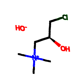 C[N+](C)(C)C[C@H](O)CCl.[OH-]